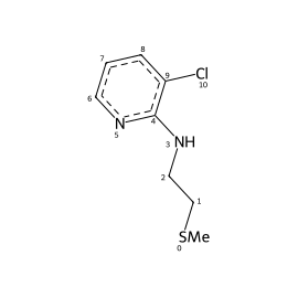 CSCCNc1ncccc1Cl